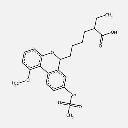 CCC(CCCCC1Oc2cccc(OC)c2-c2ccc(NS(C)(=O)=O)cc21)C(=O)O